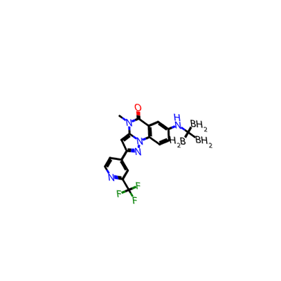 BC(B)(B)Nc1ccc2c(c1)c(=O)n(C)c1cc(-c3ccnc(C(F)(F)F)c3)nn21